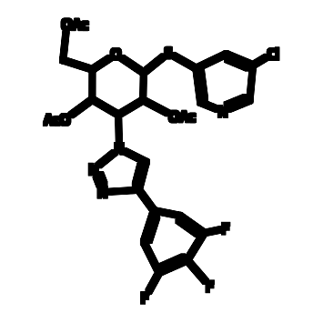 CC(=O)OCC1OC(Sc2cncc(Cl)c2)C(OC(C)=O)C(n2cc(-c3cc(F)c(F)c(F)c3)nn2)C1OC(C)=O